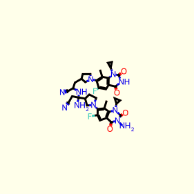 Cc1c(N2CCC(CC(C#N)NC(N)(CC#N)C3CCN(c4c(F)cc5c(=O)n(N)c(=O)n(C6CC6)c5c4C)C3)C2)c(F)cc2c(=O)[nH]c(=O)n(C3CC3)c12